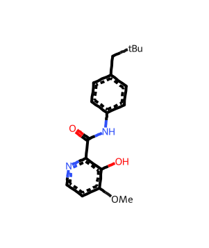 COc1ccnc(C(=O)Nc2ccc(CC(C)(C)C)cc2)c1O